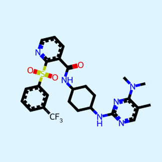 Cc1cnc(NC2CCC(NC(=O)c3cccnc3S(=O)(=O)c3cccc(C(F)(F)F)c3)CC2)nc1N(C)C